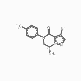 N[C@H]1CN(c2ccc(C(F)(F)F)cc2)C(=O)c2c(Br)cnn21